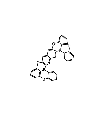 c1ccc2c(c1)Oc1cccc3c1B2c1cc2cc4c(cc2cc1O3)Oc1cccc2c1B4c1ccccc1O2